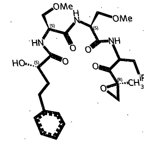 COC[C@H](NC(=O)[C@H](COC)NC(=O)[C@@H](O)CCc1ccccc1)C(=O)NC(CC(C)C)C(=O)[C@@]1(C)CO1